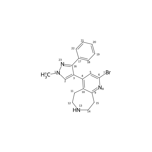 Cn1cc(-c2cc(Br)nc3c2CCNCC3)c(-c2ccccc2)n1